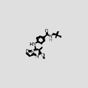 COc1nc2ccnn2c(Nc2ccc(C(=O)NCC(C)(C)C)cc2)c1C